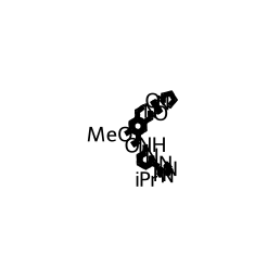 COc1cc2c(cc1C(=O)Nc1cccc(-c3nnnn3C(C)C)n1)CN(S(=O)(=O)N1CCCC1)CC2